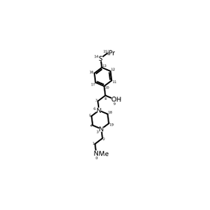 CNCCN1CCN(CC(O)c2ccc(SC(C)C)cc2)CC1